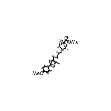 COc1ccc(-c2nc(CCCC[C@H]3CO[C@@](C)(C(=O)OC)OC3)c(C)o2)cc1